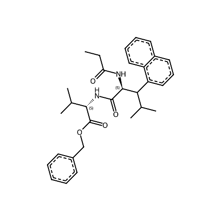 CCC(=O)N[C@H](C(=O)N[C@H](C(=O)OCc1ccccc1)C(C)C)C(c1cccc2ccccc12)C(C)C